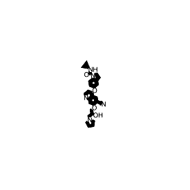 N#Cc1cc2c(Oc3ccc4c(ccn4C(=O)NC4CC4)c3)ccnc2cc1OC[C@H](O)CN1CCCC1